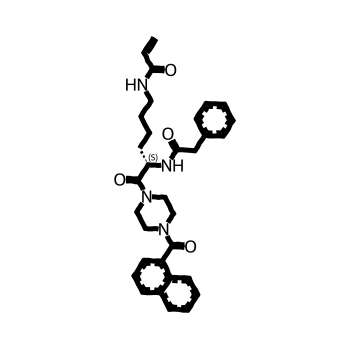 C=CC(=O)NCCCC[C@H](NC(=O)Cc1ccccc1)C(=O)N1CCN(C(=O)c2cccc3ccccc23)CC1